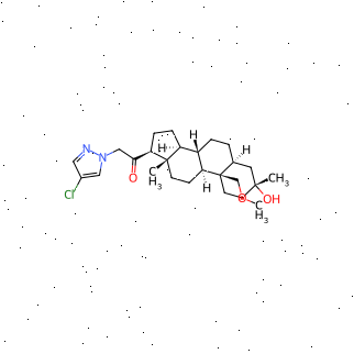 COC[C@]12CC[C@@](C)(O)C[C@@H]1CC[C@H]1[C@@H]3CC[C@H](C(=O)Cn4cc(Cl)cn4)[C@@]3(C)CC[C@@H]12